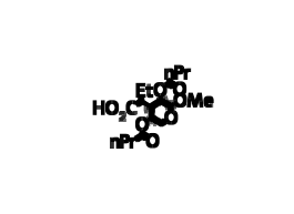 CCCC(=O)O[C@H]1[C@H](OC)OC[C@H](OC(=O)CCC)[C@H]1C(CC)C(=O)O